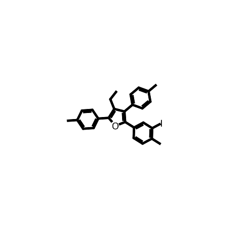 CCc1c(-c2ccc(C)cc2)oc(-c2ccc(C)c(I)c2)c1-c1ccc(C)cc1